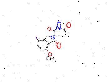 COc1ccc(I)c2c1C(=O)N(C1CCC(=O)NC1=O)C2